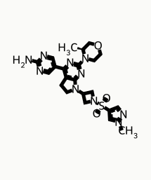 C[C@H]1COCCN1c1nc(-c2cnc(N)nc2)c2c(n1)N(C1CN(S(=O)(=O)c3cnn(C)c3)C1)CC2